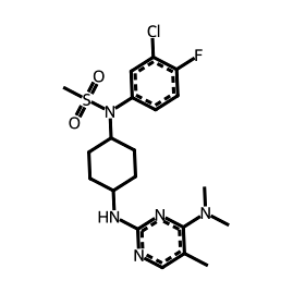 Cc1cnc(NC2CCC(N(c3ccc(F)c(Cl)c3)S(C)(=O)=O)CC2)nc1N(C)C